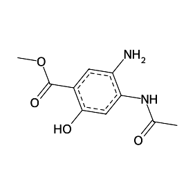 COC(=O)c1cc(N)c(NC(C)=O)cc1O